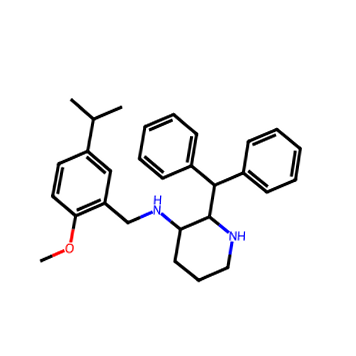 COc1ccc(C(C)C)cc1CNC1CCCNC1C(c1ccccc1)c1ccccc1